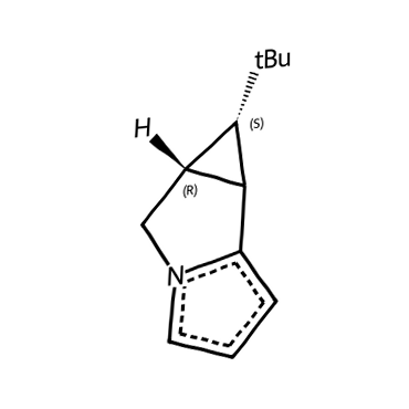 CC(C)(C)[C@@H]1C2c3cccn3C[C@@H]21